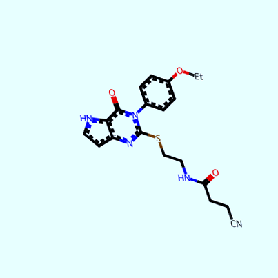 CCOc1ccc(-n2c(SCCNC(=O)CCC#N)nc3cc[nH]c3c2=O)cc1